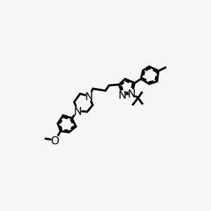 COc1ccc(N2CCN(CCCc3cc(-c4ccc(C)cc4)n(C(C)(C)C)n3)CC2)cc1